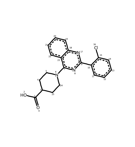 O=C(O)C1CCN(c2nc(-c3ccccc3Cl)nc3ccccc23)CC1